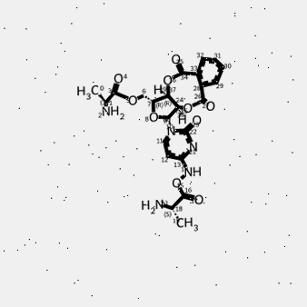 C[C@H](N)C(=O)OC[C@H]1O[C@@H](n2ccc(NOC(=O)[C@H](C)N)nc2=O)[C@@H]2OC(=O)c3ccccc3C(=O)O[C@@H]21